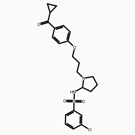 O=C(c1ccc(OCCCN2CCCC2NS(=O)(=O)c2cccc(Cl)c2)cc1)C1CC1